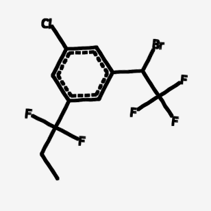 CCC(F)(F)c1cc(Cl)cc(C(Br)C(F)(F)F)c1